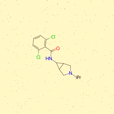 CC(C)N1CC2C(C1)C2NC(=O)c1c(Cl)cccc1Cl